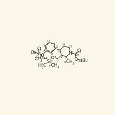 CC1C(CO[Si](C)(C)C(C)(C)C)C(c2cccc(OS(=O)(=O)C(F)(F)F)c2)CCN1C(=O)OC(C)(C)C